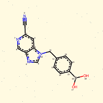 N#Cc1cc2c(cn1)ncn2Cc1ccc(B(O)O)cc1